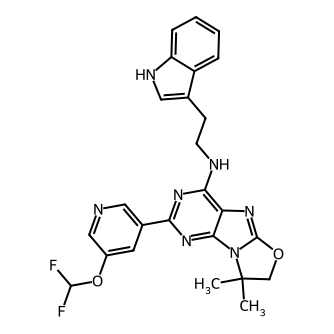 CC1(C)COc2nc3c(NCCc4c[nH]c5ccccc45)nc(-c4cncc(OC(F)F)c4)nc3n21